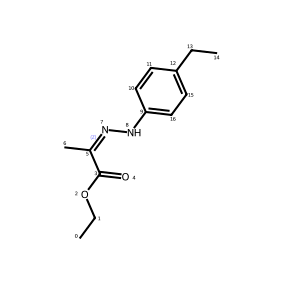 CCOC(=O)/C(C)=N\Nc1ccc(CC)cc1